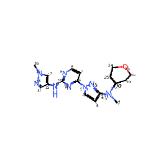 CN(c1ccn(-c2ccnc(Nc3cnn(C)c3)n2)n1)C1CCOCC1